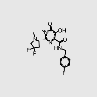 CN1CC(F)(F)C[C@H]1c1nc(C(=O)NCc2ccc(F)cc2)c(O)c(=O)n1C